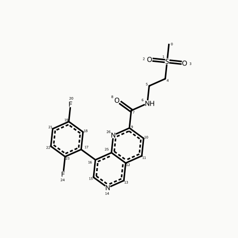 CS(=O)(=O)CCNC(=O)c1ccc2cncc(-c3cc(F)ccc3F)c2n1